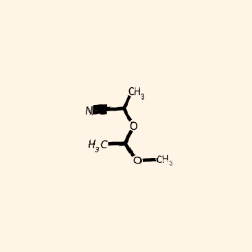 COC(C)OC(C)C#N